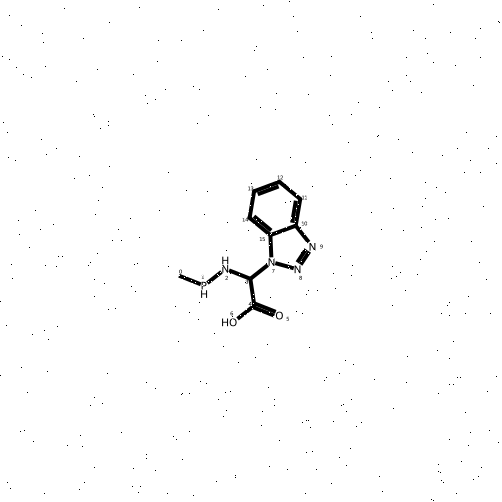 CPNC(C(=O)O)n1nnc2ccccc21